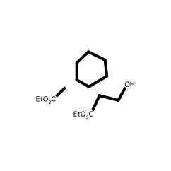 C1CCCCC1.CCOC(=O)CCO.CCOC(C)=O